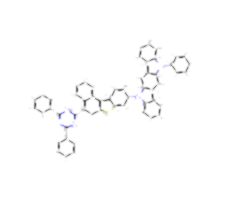 c1ccc(-c2nc(-c3ccccc3)nc(-c3cc4sc5cc(-n6c7ccccc7c7cc8c(cc76)c6ccccc6n8-c6ccccc6)ccc5c4c4ccccc34)n2)cc1